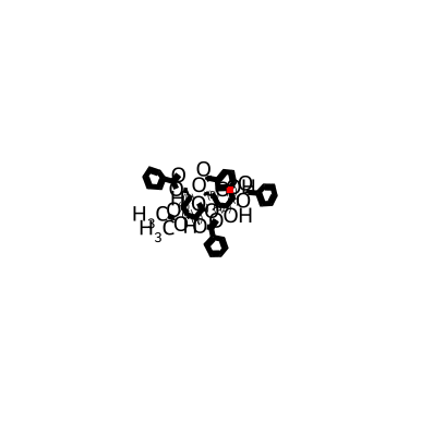 CC1(C)O[C@H]2[C@@H](O1)[C@@H](COC(=O)c1ccccc1)O[C@@H](O[C@H]1[C@H](O)[C@@H](OC(=O)c3ccccc3)[C@H](O)O[C@@H]1COC(=O)c1ccccc1)[C@@H]2OC(=O)c1ccccc1